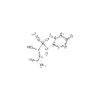 C#CC1(Cl)C(O)[C@@H]([C@H](C)O)O[C@H]1n1cnc(=O)[nH]c1=O